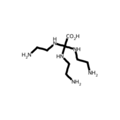 NCCNC(NCCN)(NCCN)C(=O)O